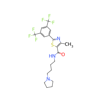 Cc1nc(-c2cc(C(F)(F)F)cc(C(F)(F)F)c2)sc1C(=O)NCCCCN1CCCC1